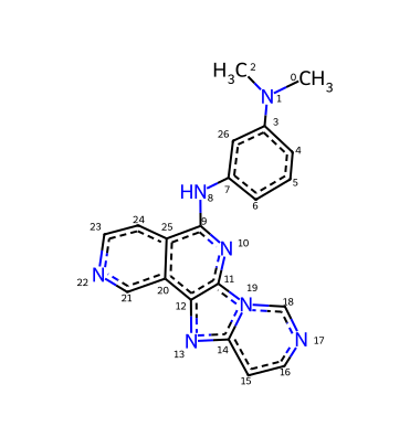 CN(C)c1cccc(Nc2nc3c(nc4ccncn43)c3cnccc23)c1